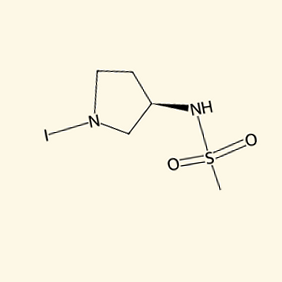 CS(=O)(=O)N[C@@H]1CCN(I)C1